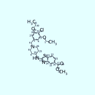 CCOc1cc(CN2CCC(Nc3nc4cc(C(=O)OC)ccc4s3)CC2)cc(OCC)c1Cl